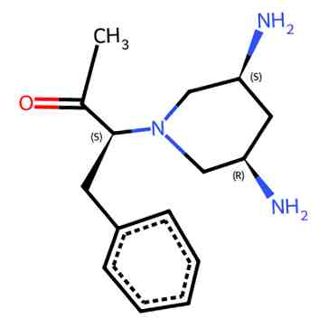 CC(=O)[C@H](Cc1ccccc1)N1C[C@H](N)C[C@H](N)C1